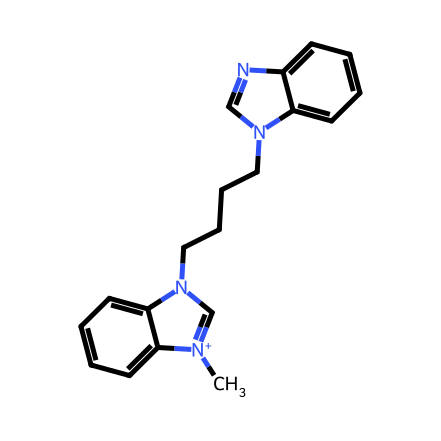 C[n+]1cn(CCCCn2cnc3ccccc32)c2ccccc21